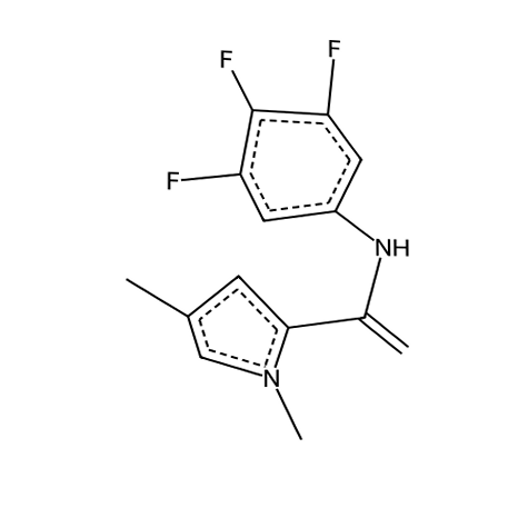 C=C(Nc1cc(F)c(F)c(F)c1)c1cc(C)cn1C